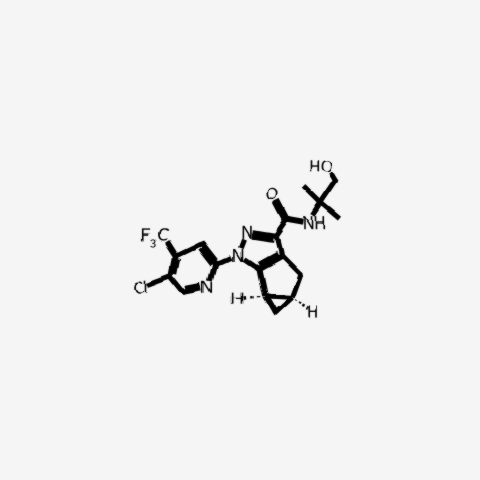 CC(C)(CO)NC(=O)c1nn(-c2cc(C(F)(F)F)c(Cl)cn2)c2c1C[C@H]1C[C@@H]21